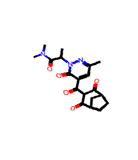 Cc1cc(C(=O)C2C(=O)C3CCC(C3)C2=O)c(=O)n(C(C)C(=O)N(C)C)n1